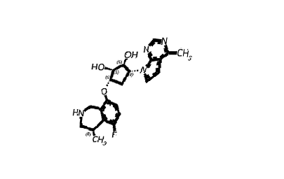 Cc1ncnc2c1ccn2[C@@H]1C[C@H](Oc2ccc(F)c3c2CNC[C@@H]3C)[C@@H](O)[C@H]1O